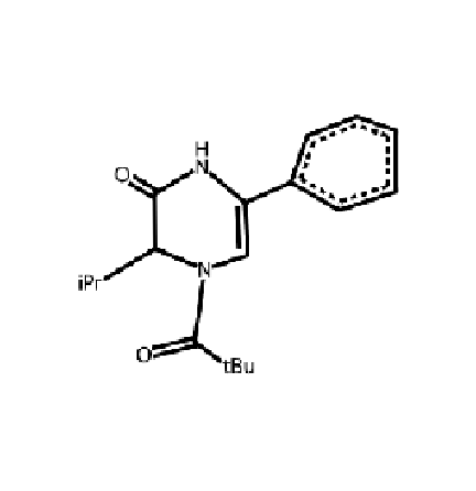 CC(C)C1C(=O)NC(c2ccccc2)=CN1C(=O)C(C)(C)C